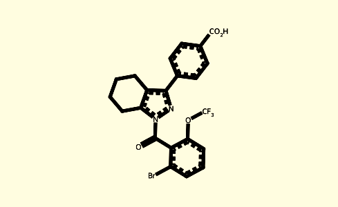 O=C(O)c1ccc(-c2nn(C(=O)c3c(Br)cccc3OC(F)(F)F)c3c2CCCC3)cc1